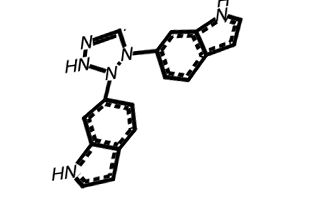 [C]1=NNN(c2ccc3cc[nH]c3c2)N1c1ccc2cc[nH]c2c1